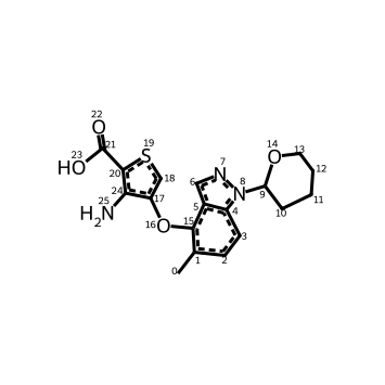 Cc1ccc2c(cnn2C2CCCCO2)c1Oc1csc(C(=O)O)c1N